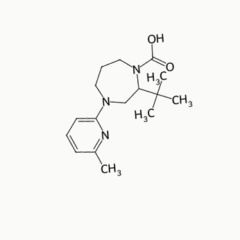 Cc1cccc(N2CCCN(C(=O)O)C(C(C)(C)C)C2)n1